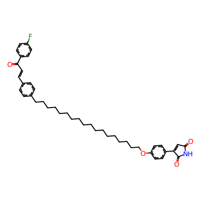 O=C1C=C(c2ccc(OCCCCCCCCCCCCCCCCCCc3ccc(C=CC(=O)c4ccc(F)cc4)cc3)cc2)C(=O)N1